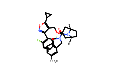 O=C(O)c1ccc2c(c1)CN(C(=O)N1[C@@H]3CC[C@H]1CC(OCc1c(-c4c(F)cccc4F)noc1C1CC1)C3)C2